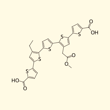 CCc1cc(-c2ccc(C(=O)O)s2)sc1-c1ccc(-c2sc(-c3ccc(C(=O)O)s3)cc2CC(=O)OC)s1